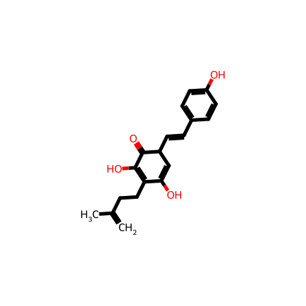 C=C(C)CCC1=C(O)C(=O)C(C=Cc2ccc(O)cc2)C=C1O